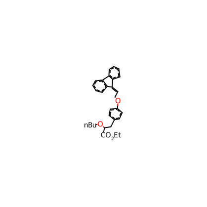 CCCCOC(Cc1ccc(OCC=C2c3ccccc3-c3ccccc32)cc1)C(=O)OCC